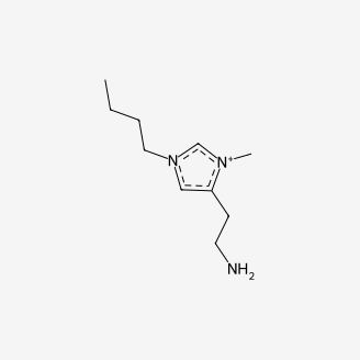 CCCCn1cc(CCN)[n+](C)c1